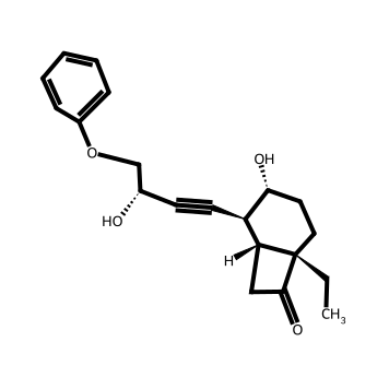 CC[C@]12CC[C@@H](O)[C@H](C#C[C@H](O)COc3ccccc3)[C@H]1CC2=O